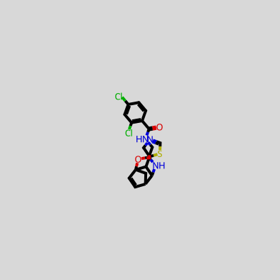 O=C(NCC1NC2C3C=CC(C3)(O1)C2C1CN=CS1)c1ccc(Cl)cc1Cl